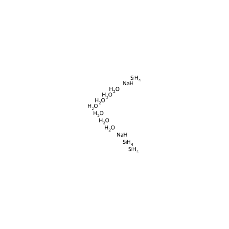 O.O.O.O.O.O.O.[NaH].[NaH].[SiH4].[SiH4].[SiH4]